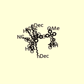 CCCCCCCCCCCCCCCCCCOC1=C(C(NC(=O)CCC(=O)O)c2ccccc2)C=CC(OCCCCCCCCCCCCCCCCCC)C1(OCCCCCCCCCCCCCCCCCC)[C@@H]1C[C@H](n2cc(C)c(=O)[nH]c2=O)O[C@@H]1CO/P=[O+]/CCC#N.COc1ccc(C(OC[C@@H]2CC[C@H](n3cc(C)c(=O)[nH]c3=O)O2)(c2ccccc2)c2ccc(OC)cc2)cc1